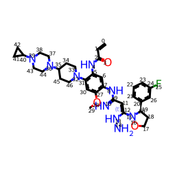 C=CC(=O)Nc1cc(NC(=N)/C=C(\NN)N2OCC[C@@H]2c2cccc(F)c2)c(OC)cc1N1CCC(N2CCN(C3CC3)CC2)CC1